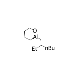 CCCCC(CC)[CH2][Al]1[CH2]CCC[O]1